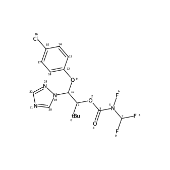 CC(C)(C)C(OC(=O)N(F)C(F)F)C(Oc1ccc(Cl)cc1)n1cncn1